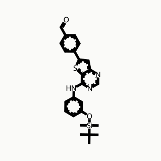 CC(C)(C)[Si](C)(C)Oc1cccc(Nc2ncnc3cc(-c4ccc(C=O)cc4)sc23)c1